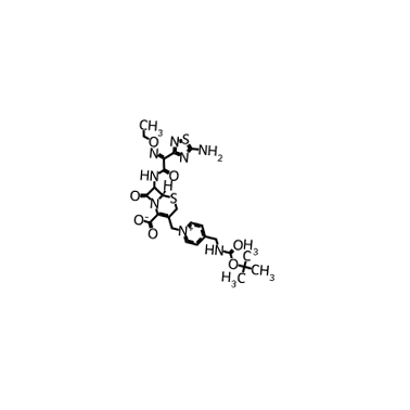 CCON=C(C(=O)NC1C(=O)N2C(C(=O)[O-])=C(C[n+]3ccc(CNC(=O)OC(C)(C)C)cc3)CS[C@@H]12)c1nsc(N)n1